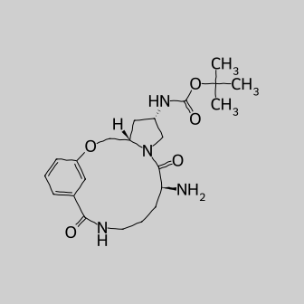 CC(C)(C)OC(=O)N[C@H]1C[C@H]2COc3cccc(c3)C(=O)NCCC[C@H](N)C(=O)N2C1